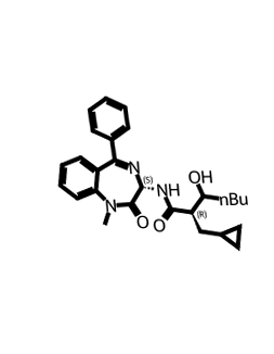 CCCCC(O)[C@@H](CC1CC1)C(=O)N[C@H]1N=C(c2ccccc2)c2ccccc2N(C)C1=O